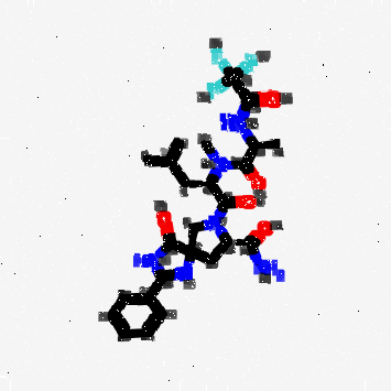 CC(C)C[C@@H](C(=O)N1C[C@@]2(C[C@H]1C(N)=O)N=C(c1ccccc1)NC2=O)N(C)C(=O)[C@H](C)NC(=O)C(F)(F)F